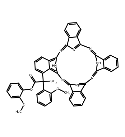 COc1ccccc1OC(=O)C([SiH3])(c1ccccc1OC)c1cccc2c3nc4nc(nc5[nH]c(nc6nc(nc([nH]3)c12)-c1ccccc1-6)c1ccccc51)-c1ccccc1-4